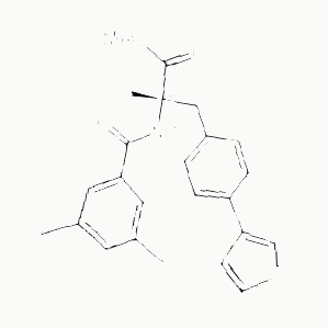 COC(=O)[C@](C)(Cc1ccc(-c2ccsc2)cc1)NC(=O)c1cc(C)cc(C)c1